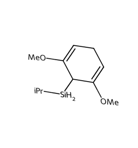 COC1=CCC=C(OC)C1[SiH2]C(C)C